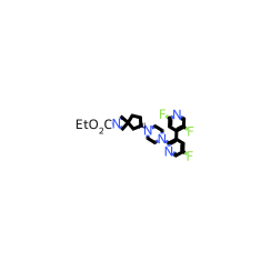 CCOC(=O)N1CC2(CC[C@@H](N3CCN(c4ncc(F)cc4-c4cc(F)ncc4F)CC3)C2)C1